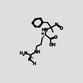 [H]/N=C(/N)NCCC[C@H](NC(C)(Cc1ccccc1)N=O)C(=O)O